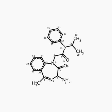 CC1=NC(N)C(=O)N(CC(=O)N(c2ccccc2)C(C)C)c2ccccc21